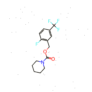 O=C(OCc1cc(C(F)(F)F)ccc1F)N1CCCCC1